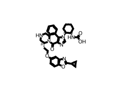 O=C(O)N[C@H]1CCCC[C@@H]1n1cnc(C(=O)N2CCNC[C@H]2CCOc2ccc3oc(C4CC4)nc3c2)c1-c1ccccc1